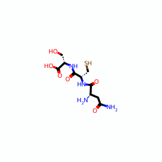 NC(=O)C[C@H](N)C(=O)N[C@@H](CS)C(=O)N[C@@H](CO)C(=O)O